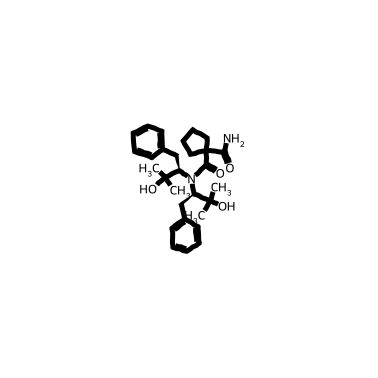 CC(C)(O)[C@@H](Cc1ccccc1)N(C(=O)C1(C(N)=O)CCCC1)[C@H](Cc1ccccc1)C(C)(C)O